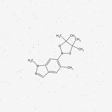 Cc1cc2cnn(C)c2cc1B1OC(C)(C)C(C)(C)O1